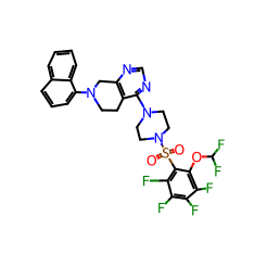 O=S(=O)(c1c(F)c(F)c(F)c(F)c1OC(F)F)N1CCN(c2ncnc3c2CCN(c2cccc4ccccc24)C3)CC1